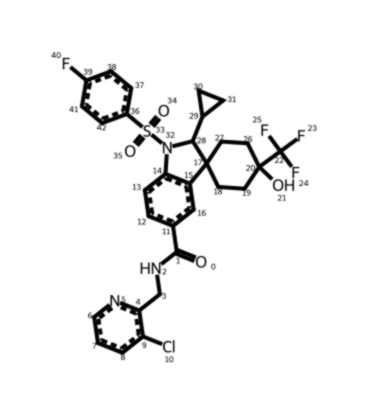 O=C(NCc1ncccc1Cl)c1ccc2c(c1)C1(CCC(O)(C(F)(F)F)CC1)C(C1CC1)N2S(=O)(=O)c1ccc(F)cc1